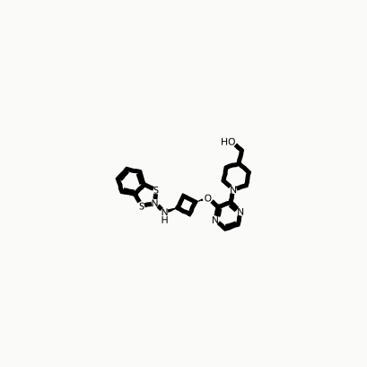 OCC1CCN(c2nccnc2O[C@H]2C[C@H](NN3Sc4ccccc4S3)C2)CC1